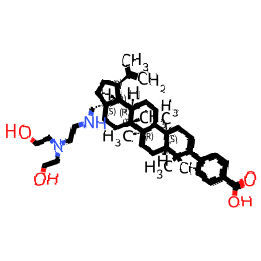 C=C(C)[C@@H]1CC[C@]2(CNCCN(CCO)CCO)CC[C@]3(C)[C@H](CCC4[C@@]5(C)CC=C(c6ccc(C(=O)O)cc6)C(C)(C)[C@@H]5CC[C@]43C)[C@@H]12